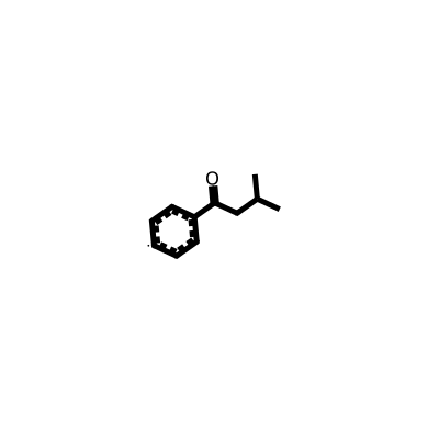 CC(C)CC(=O)c1cc[c]cc1